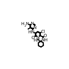 Cc1c(N)ncnc1Nc1cc(Cl)c2n(c1=O)NC1(CCCCC1)NC2=O